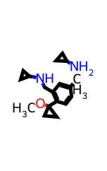 COC1(c2ccc(C)cc2CNC2CC2)CC1.NC1CC1